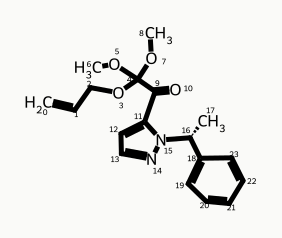 C=CCOC(OC)(OC)C(=O)c1ccnn1[C@H](C)c1ccccc1